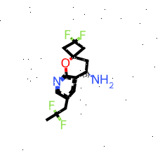 CC(F)(F)Cc1cnc2c(c1)[C@@H](N)CC1(CC(F)(F)C1)O2